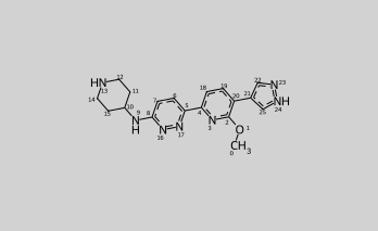 COc1nc(-c2ccc(NC3CCNCC3)nn2)ccc1-c1cn[nH]c1